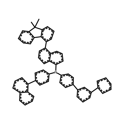 CC1(C)c2ccccc2-c2c(-c3cccc4c(N(c5ccc(-c6cccc(-c7ccccc7)c6)cc5)c5ccc(-c6cccc7ccccc67)cc5)cccc34)cccc21